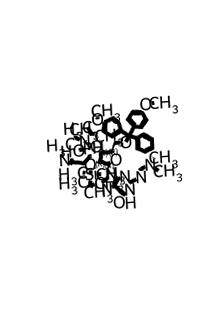 COc1ccc(C(OC[C@H]2O[C@@H](n3cnc4c(=O)[nH]c(N=CN(C)C)nc43)[C@H](O[Si](C)(C)C(C)(C)C)[C@@H]2O[PH](O)(CCC#N)N(C(C)C)C(C)C)(c2ccccc2)c2ccc(OC)cc2)cc1